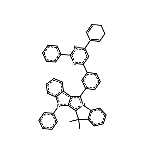 CC1(C)c2ccccc2-n2c(-c3cccc(-c4cc(C5=CCCC=C5)nc(-c5ccccc5)n4)c3)c3c4ccccc4n(-c4ccccc4)c3c21